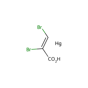 O=C(O)C(Br)=CBr.[Hg]